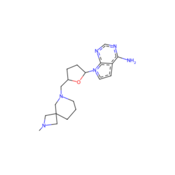 CN1CC2(CCCN(CC3CCC(n4ccc5c(N)ncnc54)O3)C2)C1